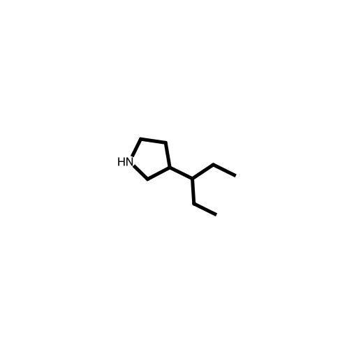 CCC(CC)C1CCNC1